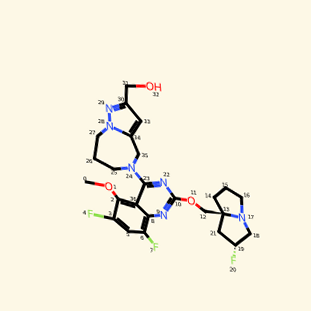 COc1c(F)cc(F)c2nc(OC[C@@]34CCCN3C[C@H](F)C4)nc(N3CCCn4nc(CO)cc4C3)c12